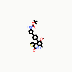 COc1cc(C)c2[nH]c(=O)c3sccc3c2c1-c1ccc(C2CCC(NC(=O)OC(C)(C)C)C2)cc1